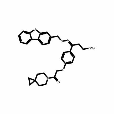 COCC/C(=N/OCc1ccc2c(c1)sc1ccccc12)c1ccc(OCC(=O)N2CCC3(CC2)CC3)cc1